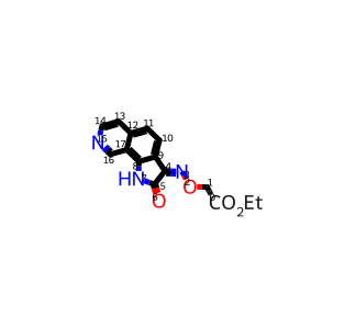 CCOC(=O)CON=C1C(=O)Nc2c1ccc1ccncc21